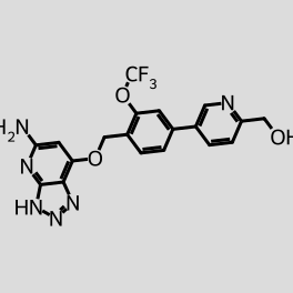 Nc1cc(OCc2ccc(-c3ccc(CO)nc3)cc2OC(F)(F)F)c2nn[nH]c2n1